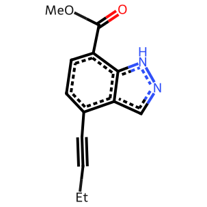 CCC#Cc1ccc(C(=O)OC)c2[nH]ncc12